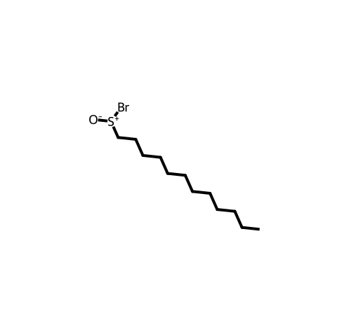 CCCCCCCCCCCC[S+]([O-])Br